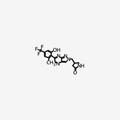 Cc1cc(C(F)(F)F)cc(O)c1-c1cnc2cn(CC3CNC(=O)C3)nc2n1